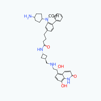 NC1CCC(N(C(=O)O)c2cc(CCCC(=O)N[C@H]3C[C@H](CNC[C@H](O)c4ccc(O)c5[nH]c(=O)ccc45)C3)ccc2-c2ccccc2)CC1